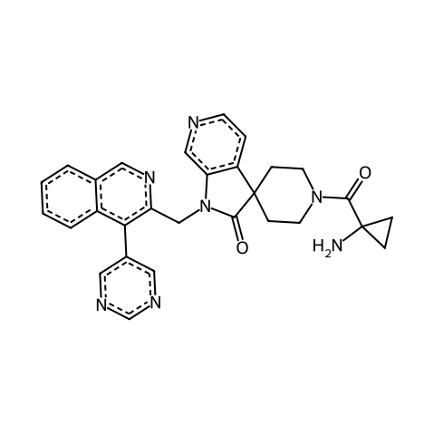 NC1(C(=O)N2CCC3(CC2)C(=O)N(Cc2ncc4ccccc4c2-c2cncnc2)c2cnccc23)CC1